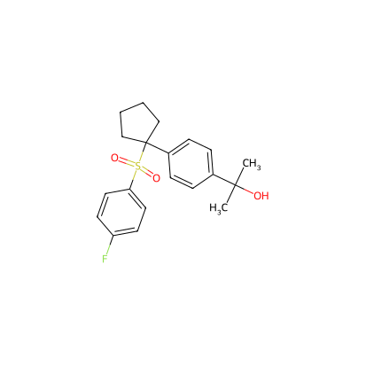 CC(C)(O)c1ccc(C2(S(=O)(=O)c3ccc(F)cc3)CCCC2)cc1